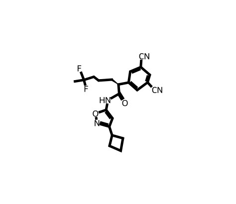 CC(F)(F)CCC[C@H](C(=O)Nc1cc(C2CCC2)no1)c1cc(C#N)cc(C#N)c1